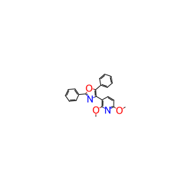 COc1ccc(-c2nc(-c3ccccc3)oc2-c2ccccc2)c(OC)n1